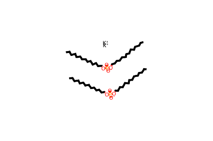 CCCCCCCCCCCCCCOP(=O)([O-])OCCCCCCCCCCCCCC.CCCCCCCCCCCCCCOP(=O)([O-])OCCCCCCCCCCCCCC.[K+].[K+]